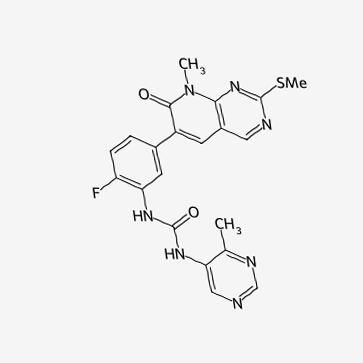 CSc1ncc2cc(-c3ccc(F)c(NC(=O)Nc4cncnc4C)c3)c(=O)n(C)c2n1